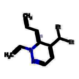 C=C/C=C1/C(C(CC)CC)=CC=NN1C=C